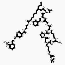 CCC/C(=C/CCCCCC(=O)NCCNC(=O)c1ccc(N/N=C/c2ccccc2S(=O)(=O)O)nc1)NC(=O)[C@H](CC(C)C)NC(=O)[C@H](CCc1ccccc1)NC(=O)CNC(=O)[C@H](CCCCNC(=N)N)NC(=O)[C@@H]1CCCN1C(=O)CN(CCCCNC(=O)OC(C)(C)C)C(C)=O